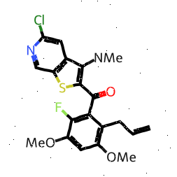 C=CCc1c(OC)cc(OC)c(F)c1C(=O)c1sc2cnc(Cl)cc2c1NC